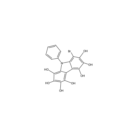 Oc1c(O)c(O)c2c(c1O)c1c(O)c(O)c(O)c(Br)c1n2-c1ccccc1